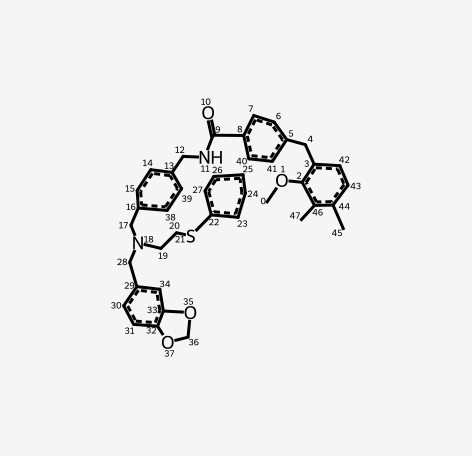 COc1c(Cc2ccc(C(=O)NCc3ccc(CN(CCSc4ccccc4)Cc4ccc5c(c4)OCO5)cc3)cc2)ccc(C)c1C